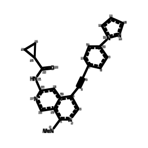 CNc1ncc(C#Cc2ccc(-n3cccn3)cc2)c2cc(NC(=O)C3CC3)ncc12